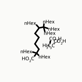 CC(=O)O.CC(=O)O.CCCCCCC(CCCCC(CCCCCC)(CCCCCC)C(=O)O)C(CCCCCC)(CCCCCC)CCCCCC